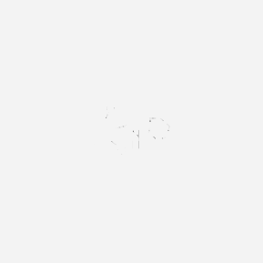 CCCC(=O)C(=CNc1ccc(OC)cc1)C(=O)OCC